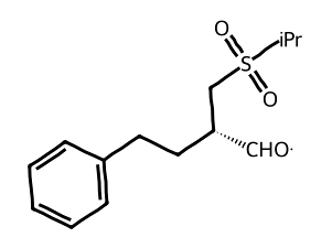 CC(C)S(=O)(=O)C[C@H]([C]=O)CCc1ccccc1